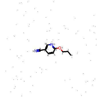 CCCOc1ccc(C#N)cn1